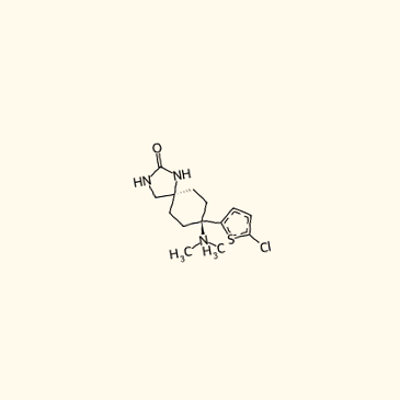 CN(C)[C@]1(c2ccc(Cl)s2)CC[C@]2(CC1)CNC(=O)N2